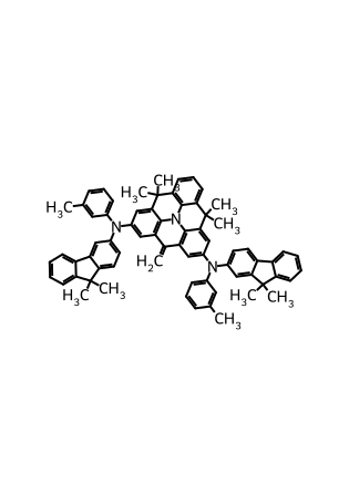 C=C1c2cc(N(c3cccc(C)c3)c3ccc4c(c3)-c3ccccc3C4(C)C)cc3c2N2c4c1cc(N(c1cccc(C)c1)c1ccc5c(c1)C(C)(C)c1ccccc1-5)cc4C(C)(C)c1cccc(c12)C3(C)C